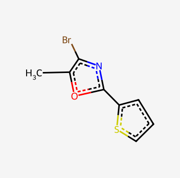 Cc1oc(-c2cccs2)nc1Br